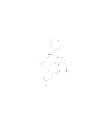 COC(=O)C1=C(C)N(c2cccc(C(F)(F)F)c2)c2n[nH]c(=O)n2C1c1ccc(C#N)cc1C#C[Si](C)(C)C